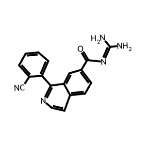 N#Cc1ccccc1-c1nccc2ccc(C(=O)N=C(N)N)cc12